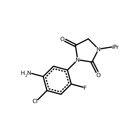 CC(C)N1CC(=O)N(c2cc(N)c(Cl)cc2F)C1=O